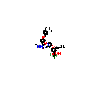 CCCc1cc(C(O)(C(F)(F)F)C(F)(F)F)ccc1Oc1ccnc(CN2C(=O)NC(C)(c3ccc(OCc4ccc(C)cc4)cc3)C2=O)c1